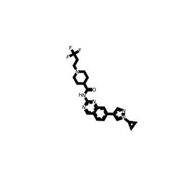 O=C(Nc1ncc2ccc(-c3cnn(C4CC4)c3)cc2n1)C1CCN(CCC(F)(F)F)CC1